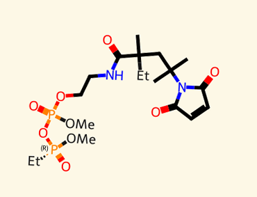 CCC(C)(CC(C)(C)N1C(=O)C=CC1=O)C(=O)NCCOP(=O)(OC)O[P@@](=O)(CC)OC